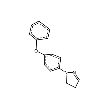 C1=NN(c2ccc(Oc3ccccc3)cc2)CC1